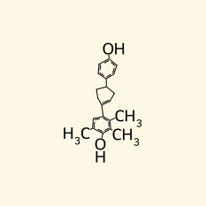 Cc1cc(C2=CCC(c3ccc(O)cc3)CC2)c(C)c(C)c1O